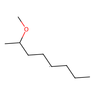 CCC[CH]CCC(C)OC